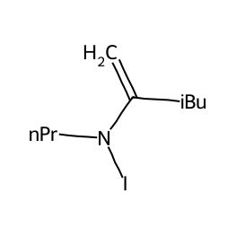 C=C(C(C)CC)N(I)CCC